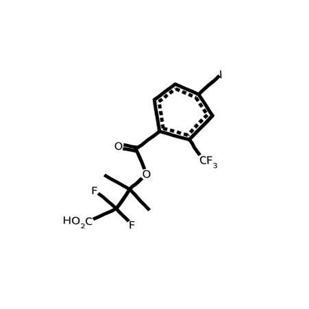 CC(C)(OC(=O)c1ccc(I)cc1C(F)(F)F)C(F)(F)C(=O)O